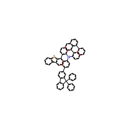 c1ccc(-c2cccc3cccc(-c4ccccc4N(c4ccc(-c5ccc6c(c5)C(c5ccccc5)(c5ccccc5)c5ccccc5-6)cc4)c4ccccc4-c4cccc5c4sc4ccccc45)c23)cc1